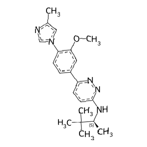 COc1cc(-c2ccc(N[C@@H](C)C(C)(C)C)nn2)ccc1-n1cnc(C)c1